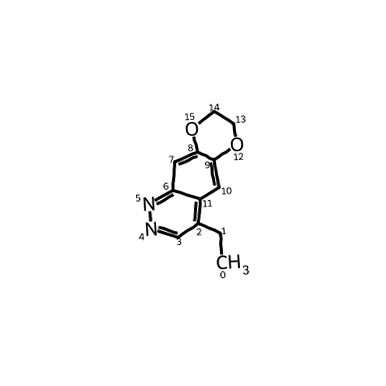 CCc1cnnc2cc3c(cc12)OCCO3